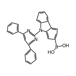 OB(O)c1ccc2c3ccccc3n(-c3nc(-c4ccccc4)cc(-c4ccccc4)n3)c2c1